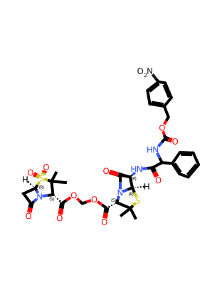 CC1(C)S[C@@H]2[C@H](NC(=O)C(NC(=O)OCc3ccc([N+](=O)[O-])cc3)c3ccccc3)C(=O)N2[C@H]1C(=O)OCOC(=O)[C@@H]1N2C(=O)C[C@H]2S(=O)(=O)C1(C)C